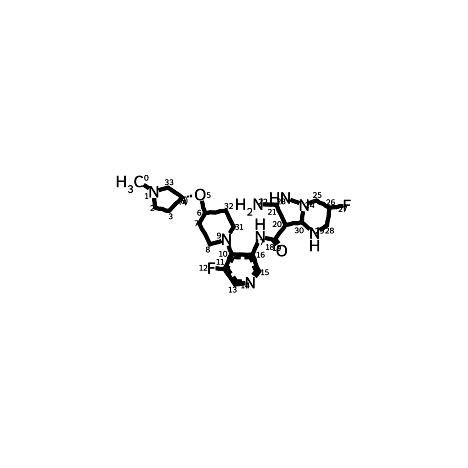 CN1CC[C@@H](OC2CCN(c3c(F)cncc3NC(=O)C3C(N)NN4CC(F)CNC34)CC2)C1